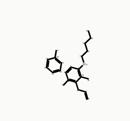 C=CCc1c(C)ccc(OCCCCC)c1C.Cc1ccccc1